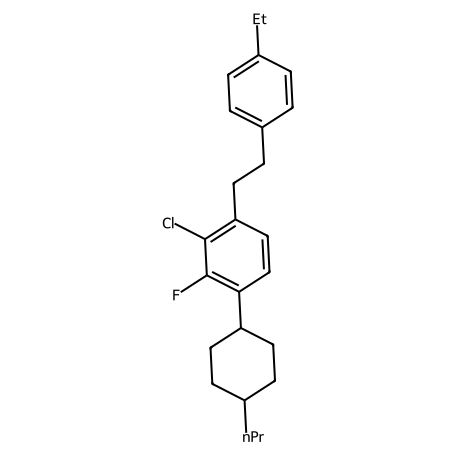 CCCC1CCC(c2ccc(CCc3ccc(CC)cc3)c(Cl)c2F)CC1